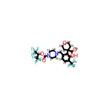 O=C(OC(C(F)(F)F)C(F)(F)F)N1CCN(Cc2ccc(C(F)(F)F)cc2C2(C(=O)O)CCOCC2)CC1